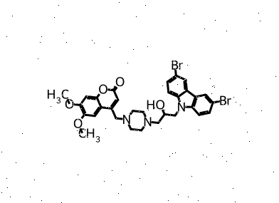 COc1cc2oc(=O)cc(CN3CCN(CC(O)Cn4c5ccc(Br)cc5c5cc(Br)ccc54)CC3)c2cc1OC